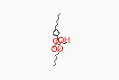 CCCCCCc1ccc(CO[C@@H]2CO[C@H](CCCCCC)O[C@@H]2C(O)CC)cc1